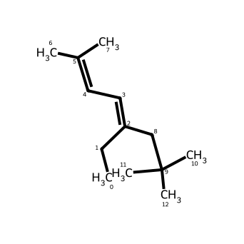 CC/C(=C\C=C(C)C)CC(C)(C)C